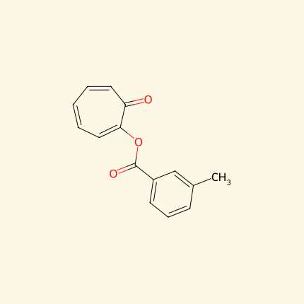 Cc1cccc(C(=O)Oc2cccccc2=O)c1